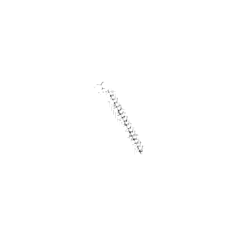 C=C(CC)C(=O)OC(F)(F)C(F)(F)C(F)(F)C(F)(F)C(F)(F)C(F)(F)C(F)(F)C(F)(F)C(F)(F)C(F)(F)C(F)(F)C(F)(F)C(F)(F)C(F)(F)C(F)(F)C(F)(F)C(F)(F)F